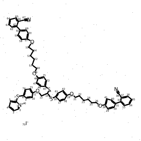 C[n+]1ccccc1Sc1ccc(OCC(Sc2ccc(OCCCCCCOc3ccc(-c4ccccc4C#N)cc3)cc2)Sc2ccc(OCCCCCCOc3ccc(-c4ccccc4C#N)cc3)cc2)cc1.[I-]